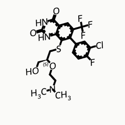 CN(C)CCO[C@@H](CO)CSc1c(-c2ccc(F)c(Cl)c2)c(C(F)(F)F)cc2c(=O)[nH]c(=O)[nH]c12